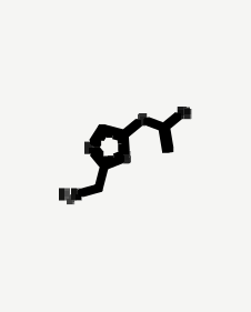 C=C(CC)Sc1cnc(CN)s1